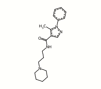 Cc1c(C(=O)NCCCN2CCCCC2)cnn1-c1ccccc1